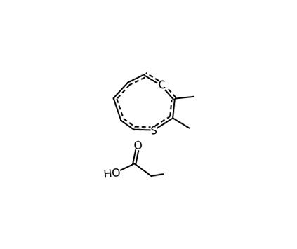 CCC(=O)O.Cc1ccccccsc1C